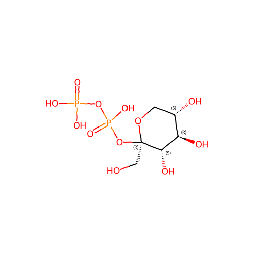 O=P(O)(O)OP(=O)(O)O[C@@]1(CO)OC[C@H](O)[C@@H](O)[C@@H]1O